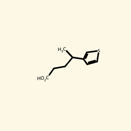 CC(CCC(=O)O)c1ccsc1